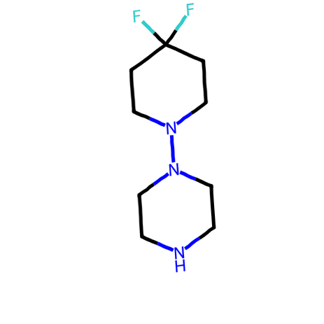 FC1(F)CCN(N2CCNCC2)CC1